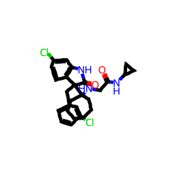 O=C(CNC1(C2(Cc3cccc(Cl)c3)C(=O)Nc3cc(Cl)ccc32)CCCCCC1)NC1CC1